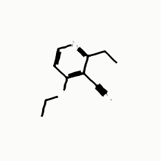 CCOc1ccnc(CC)c1C#N